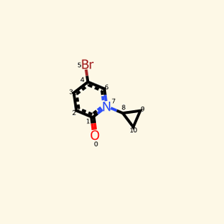 O=c1ccc(Br)cn1C1CC1